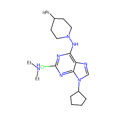 CCCC1CCN(Nc2nc(Cl)nc3c2ncn3C2CCCC2)CC1.CCNCC